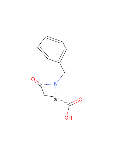 O=C(O)[C@@H]1CC(=O)N1Cc1ccccc1